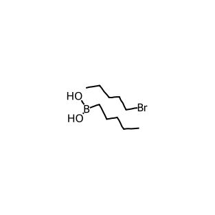 CCCCCB(O)O.CCCCCBr